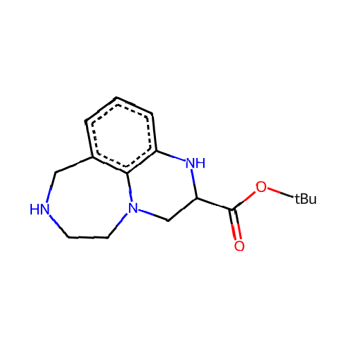 CC(C)(C)OC(=O)C1CN2CCNCc3cccc(c32)N1